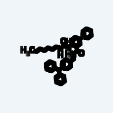 CCCCCCCNC(=O)Nc1ccc(N2CCCCC2)cc1C(=O)NCC1CCN(C(c2ccccc2)c2ccccc2)CC1